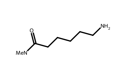 CNC(=O)CCCCCN